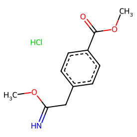 COC(=N)Cc1ccc(C(=O)OC)cc1.Cl